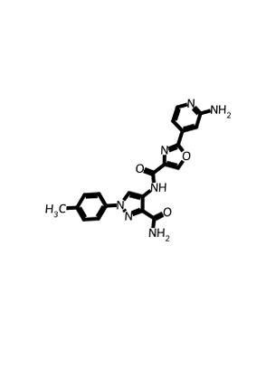 Cc1ccc(-n2cc(NC(=O)c3coc(-c4ccnc(N)c4)n3)c(C(N)=O)n2)cc1